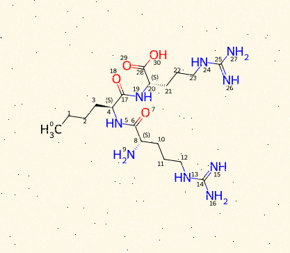 CCCC[C@H](NC(=O)[C@@H](N)CCCNC(=N)N)C(=O)N[C@@H](CCCNC(=N)N)C(=O)O